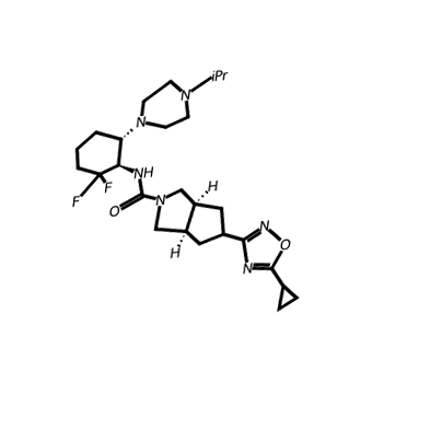 CC(C)N1CCN([C@H]2CCCC(F)(F)[C@@H]2NC(=O)N2C[C@H]3CC(c4noc(C5CC5)n4)C[C@H]3C2)CC1